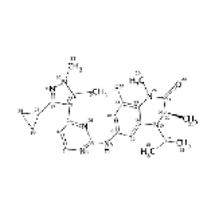 Cc1c(-c2ccnc(Nc3cc(F)c4c(c3)N(C(C)C)[C@H](C)C(=O)N4C)n2)c(C2CC2)nn1C